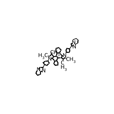 Cc1c(C)n(-c2ccc(-c3cn4c(n3)C=CCC4)cc2)c2c3ccccc3c3c4c(C)c(C)n(-c5ccc(-c6cn7ccccc7n6)cc5)c4c4ccccc4c3c12